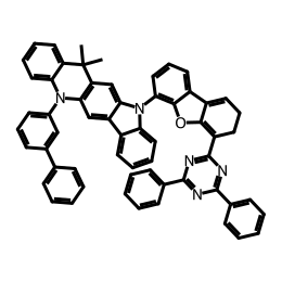 CC1(C)c2ccccc2N(c2cccc(-c3ccccc3)c2)c2cc3c4ccccc4n(-c4cccc5c6c(oc45)=C(c4nc(-c5ccccc5)nc(-c5ccccc5)n4)CCC=6)c3cc21